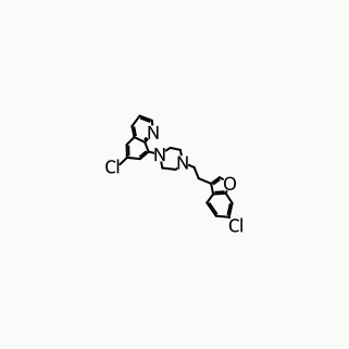 Clc1cc(N2CCN(CCc3coc4cc(Cl)ccc34)CC2)c2ncccc2c1